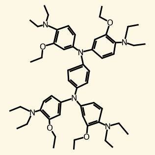 CCOc1cc(N(c2ccc(N(c3ccc(N(CC)CC)c(OCC)c3)c3ccc(N(CC)CC)c(OCC)c3)cc2)c2ccc(N(CC)CC)c(OCC)c2)ccc1N(CC)CC